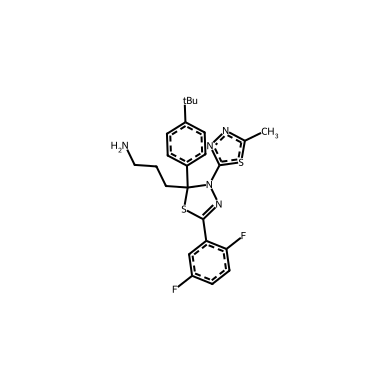 Cc1nnc(N2N=C(c3cc(F)ccc3F)SC2(CCCN)c2ccc(C(C)(C)C)cc2)s1